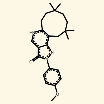 COc1ccc(-n2nc3c4c([nH]cc-3c2=O)CCC(C)(C)CCC(C)(C)C4)cc1